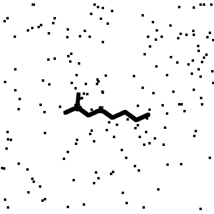 CCCCSCN(C)C